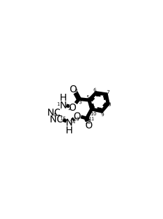 N#CNOC(=O)c1ccccc1C(=O)ONC#N